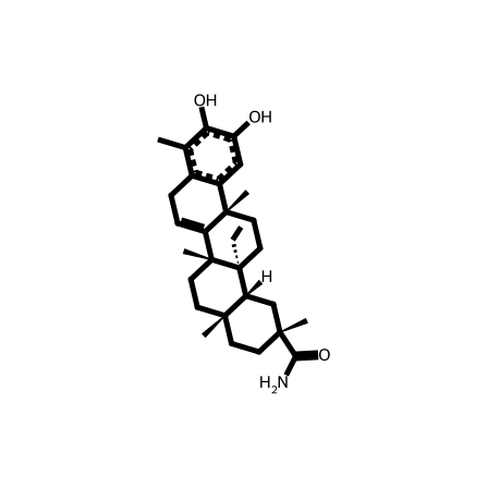 CC[C@@]12CC[C@]3(C)C(=CCc4c3cc(O)c(O)c4C)[C@@]1(C)CC[C@@]1(C)CC[C@@](C)(C(N)=O)C[C@H]12